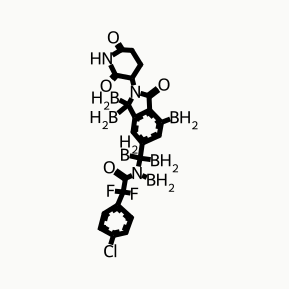 Bc1cc(C(B)(B)N(B)C(=O)C(F)(F)c2ccc(Cl)cc2)cc2c1C(=O)N(C1CCC(=O)NC1=O)C2(B)B